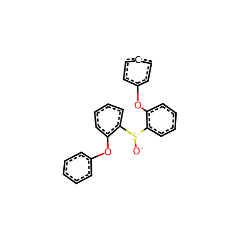 [O-][S+](c1ccccc1Oc1ccccc1)c1ccccc1Oc1ccccc1